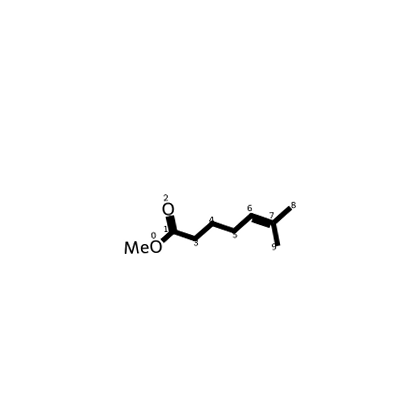 COC(=O)CCCC=C(C)C